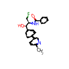 Cc1ccc(-c2ccc([C@@H](O)[C@@H](CF)NC(=O)c3ccccc3)cc2)cn1